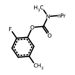 CCCN(C)C(=O)Oc1cc(C)ccc1F